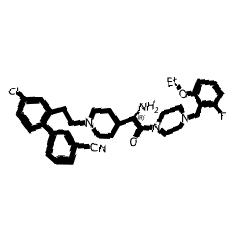 CCOc1cccc(F)c1CN1CCN(C(=O)[C@H](N)C2CCN(CCc3cc(Cl)ccc3-c3cccc(C#N)c3)CC2)CC1